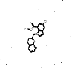 C=C(OCC)c1cc(Cl)cc2ccn(Cc3ccc4ccccc4n3)c12